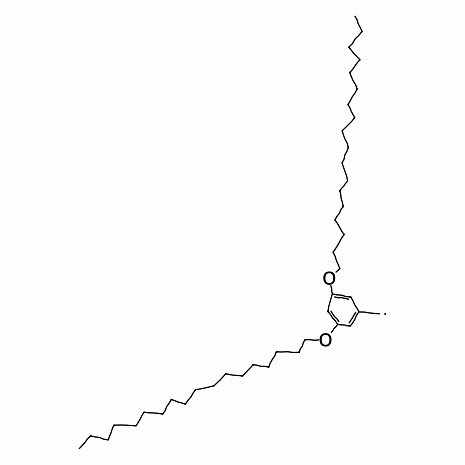 [CH2]c1cc(OCCCCCCCCCCCCCCCCCC)cc(OCCCCCCCCCCCCCCCCCC)c1